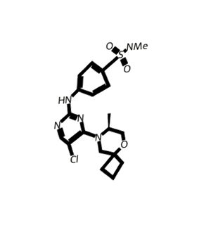 CNS(=O)(=O)c1ccc(Nc2ncc(Cl)c(N3CC4(CCC4)OC[C@@H]3C)n2)cc1